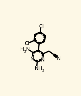 N#CCc1nc(N)nc(N)c1-c1ccc(Cl)cc1Cl